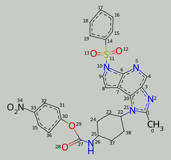 Cc1nc2cnc3c(ccn3S(=O)(=O)c3ccccc3)c2n1C1CCC(NC(=O)Oc2ccc([N+](=O)[O-])cc2)CC1